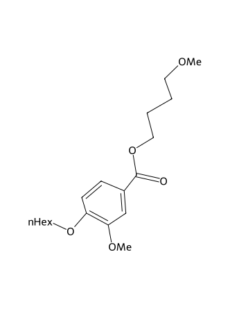 CCCCCCOc1ccc(C(=O)OCCCCOC)cc1OC